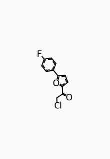 O=C(CCl)c1ccc(-c2ccc(F)cc2)o1